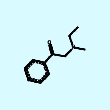 CCN(C)CC(=O)c1ccccc1